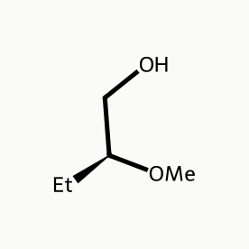 CC[C@@H](CO)OC